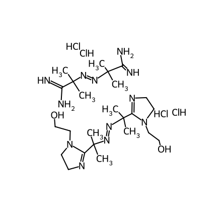 CC(C)(N=NC(C)(C)C(=N)N)C(=N)N.CC(C)(N=NC(C)(C)C1=NCCN1CCO)C1=NCCN1CCO.Cl.Cl.Cl.Cl